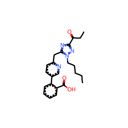 CCCCCn1nc(C(=O)CC)nc1Cc1ccc(-c2ccccc2C(=O)O)cn1